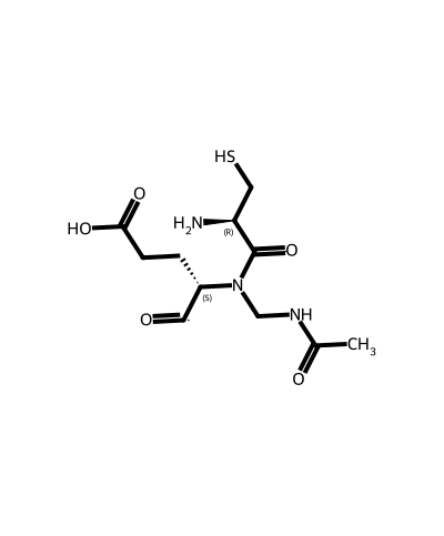 CC(=O)NCN(C(=O)[C@@H](N)CS)[C@H]([C]=O)CCC(=O)O